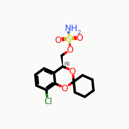 NS(=O)(=O)OC[C@H]1OC2(CCCCC2)Oc2c(Cl)cccc21